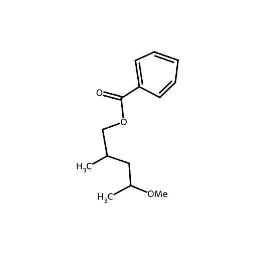 COC(C)CC(C)COC(=O)c1ccccc1